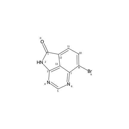 O=C1Nc2ncnc3c(Br)ccc1c23